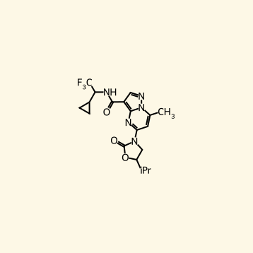 Cc1cc(N2CC(C(C)C)OC2=O)nc2c(C(=O)NC(C3CC3)C(F)(F)F)cnn12